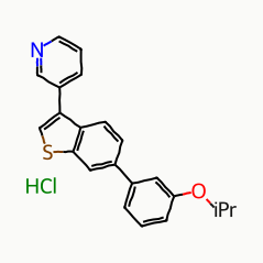 CC(C)Oc1cccc(-c2ccc3c(-c4cccnc4)csc3c2)c1.Cl